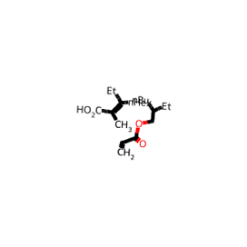 C=CC(=O)OCC(CC)CCCC.CCCCCCC(CC)=C(C)C(=O)O